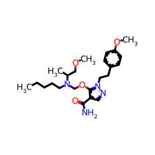 CCCCCN(COc1c(C(N)=O)cnn1CCc1ccc(OC)cc1)C(C)COC